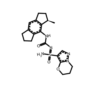 C[C@@H]1CCc2cc3c(c(NC(=O)N=S(N)(=O)c4cnn5c4OCCC5)c21)CCC3